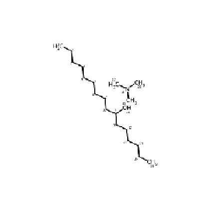 CCCCCCCCCC(O)CCCCCC.CN(C)C